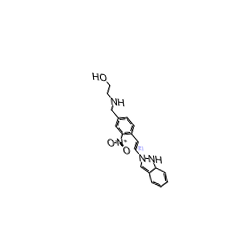 O=[N+]([O-])c1cc(CNCCO)ccc1/C=C/N1C=C2C=CC=CC2N1